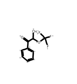 CC(OC(F)(F)F)C(=O)c1ccccc1